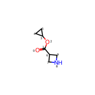 O=C(OC1CC1)C1CNC1